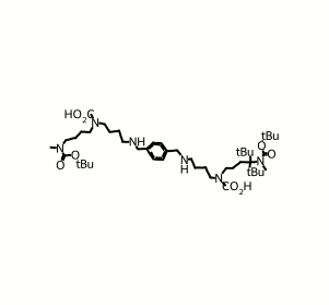 CN(CCCCN(CCCCNCc1ccc(CNCCCCN(CCCC(N(C)C(=O)OC(C)(C)C)(C(C)(C)C)C(C)(C)C)C(=O)O)cc1)C(=O)O)C(=O)OC(C)(C)C